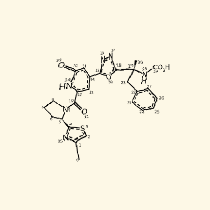 Cc1csc([C@H]2CCCN2C(=O)c2cc(-c3nnc([C@@](C)(Cc4ccccc4)NC(=O)O)o3)cc(=O)[nH]2)n1